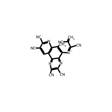 C=C(C#N)/C(C#N)=N\c1c(C)c2nc(C#N)c(C#N)cc2c2nc(C#N)c(C#N)nc12